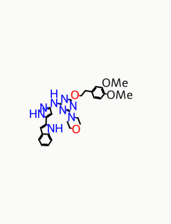 COc1ccc(CCOc2nc(Nc3cc(-c4cc5ccccc5[nH]4)[nH]n3)nc(N3CCOCC3)n2)cc1OC